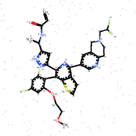 C=CC(=O)NC(C)c1cc(-c2nc(-c3cnc4c(c3)CN(CC(F)F)CC4)c3ccsc3c2-c2c(F)cc(F)cc2OCCOC)n[nH]1